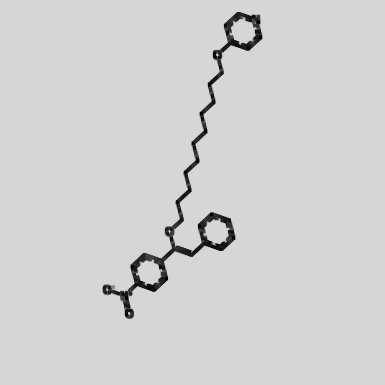 O=[N+]([O-])c1ccc(C(=Cc2ccccc2)OCCCCCCCCCCCOc2ccncc2)cc1